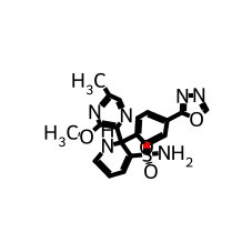 COc1nc(C)cnc1C1(c2ccc(-c3nnco3)cc2)NC=CC=C1S(N)(=O)=O